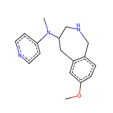 COc1ccc2c(c1)CC(N(C)c1ccncc1)CNC2